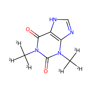 [2H]C([2H])([2H])n1c(=O)c2[nH]cnc2n(C([2H])([2H])[2H])c1=O